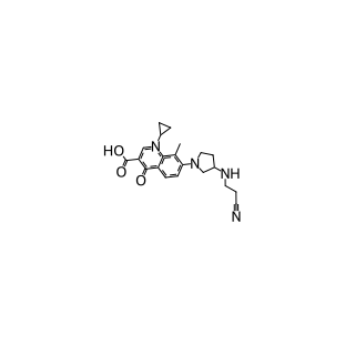 Cc1c(N2CCC(NCCC#N)C2)ccc2c(=O)c(C(=O)O)cn(C3CC3)c12